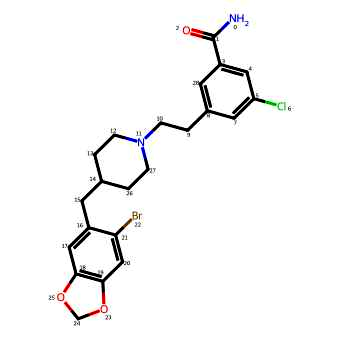 NC(=O)c1cc(Cl)cc(CCN2CCC(Cc3cc4c(cc3Br)OCO4)CC2)c1